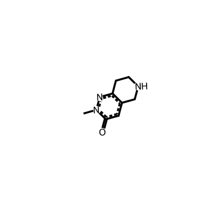 Cn1nc2c(cc1=O)CNCC2